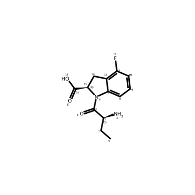 CC[C@H](N)C(=O)N1c2cccc(F)c2C[C@@H]1C(=O)O